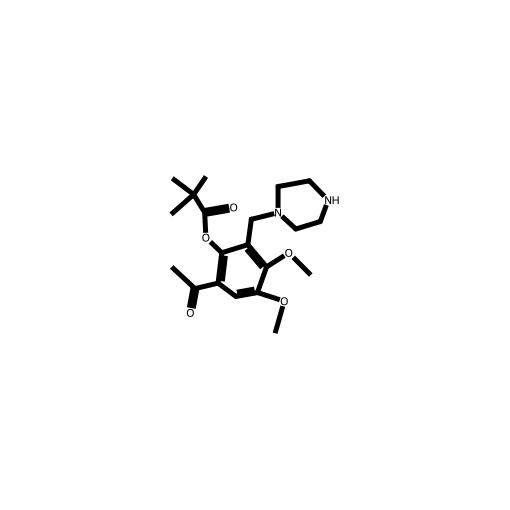 COc1cc(C(C)=O)c(OC(=O)C(C)(C)C)c(CN2CCNCC2)c1OC